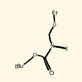 CCOCN(I)C(=O)OC(C)(C)C